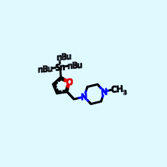 CCC[CH2][Sn]([CH2]CCC)([CH2]CCC)[c]1ccc(CN2CCN(C)CC2)o1